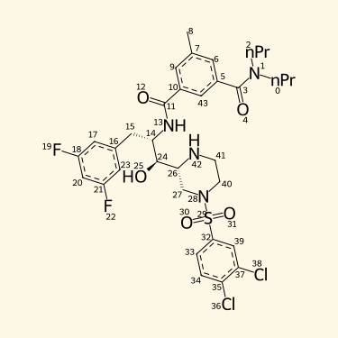 CCCN(CCC)C(=O)c1cc(C)cc(C(=O)N[C@@H](Cc2cc(F)cc(F)c2)[C@H](O)[C@H]2CN(S(=O)(=O)c3ccc(Cl)c(Cl)c3)CCN2)c1